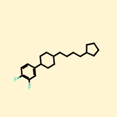 Fc1ccc(C2CCC(CCCCC3CCCC3)CC2)cc1F